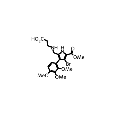 COC(=O)c1[nH]c(CNCCC(=O)O)c(-c2ccc(OC)c(OC)c2OC)c1Br